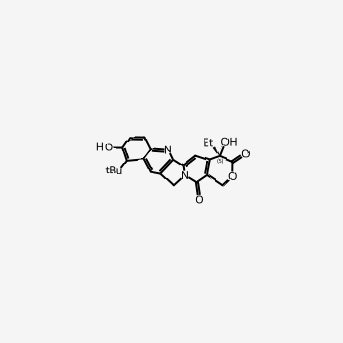 CC[C@@]1(O)C(=O)OCc2c1cc1n(c2=O)Cc2cc3c(C(C)(C)C)c(O)ccc3nc2-1